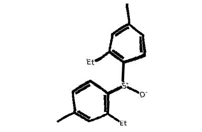 CCc1cc(C)ccc1[S+]([O-])c1ccc(C)cc1CC